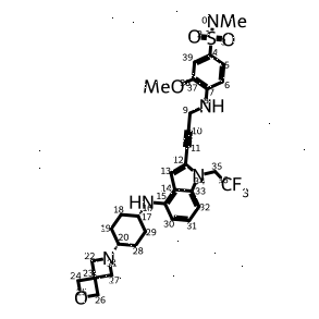 CNS(=O)(=O)c1ccc(NCC#Cc2cc3c(N[C@H]4CC[C@@H](N5CC6(COC6)C5)CC4)cccc3n2CC(F)(F)F)c(OC)c1